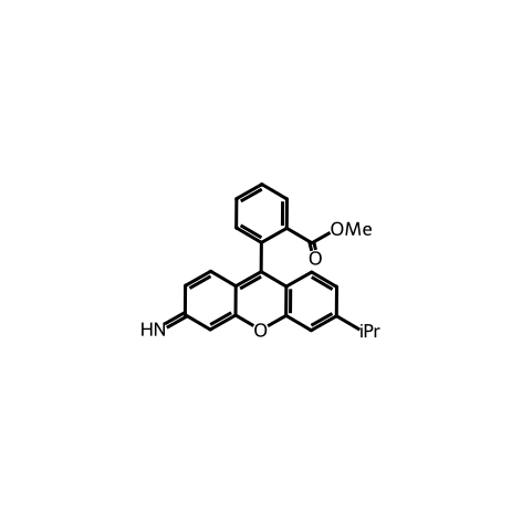 COC(=O)c1ccccc1-c1c2ccc(=N)cc-2oc2cc(C(C)C)ccc12